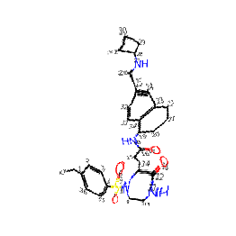 Cc1ccc(S(=O)(=O)N2CCNC(=O)[C@@H]2CC(=O)N[C@@H]2CCCc3cc(CNC4CCC4)ccc32)cc1